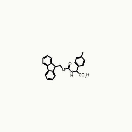 Cc1ccc(C(NC(=O)OCC2c3ccccc3-c3ccccc32)C(=O)O)cc1